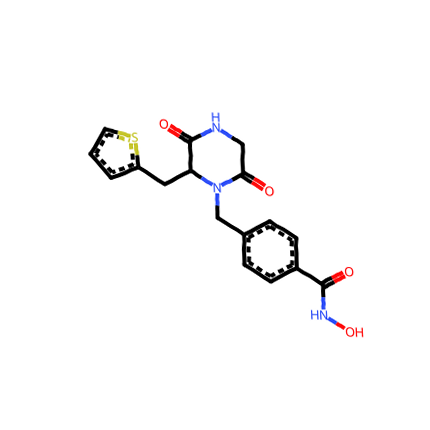 O=C(NO)c1ccc(CN2C(=O)CNC(=O)C2Cc2cccs2)cc1